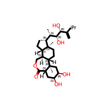 C=C(C(C)C)[C@@H](O)[C@H](O)[C@@H](C)[C@H]1CC[C@H]2[C@@H]3COC(=O)[C@H]4C[C@H](O)[C@H](O)C[C@]4(C)[C@H]3CC[C@]12C